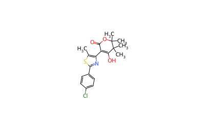 Cc1sc(-c2ccc(Cl)cc2)nc1C1=C(O)C(C)(C)C(C)(C)OC1=O